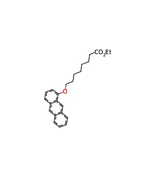 CCOC(=O)CCCCCCCOc1cccc2cc3ccccc3cc12